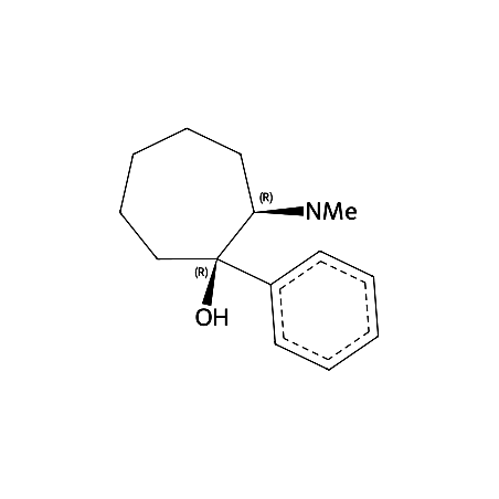 CN[C@@H]1CCCCC[C@@]1(O)c1ccccc1